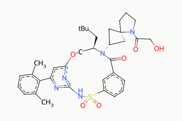 Cc1cccc(C)c1-c1cc2nc(n1)NS(=O)(=O)c1cccc(c1)C(=O)N([C@H]1C[C@@]3(CCCN3C(=O)CO)C1)[C@H](CC(C)(C)C)CO2